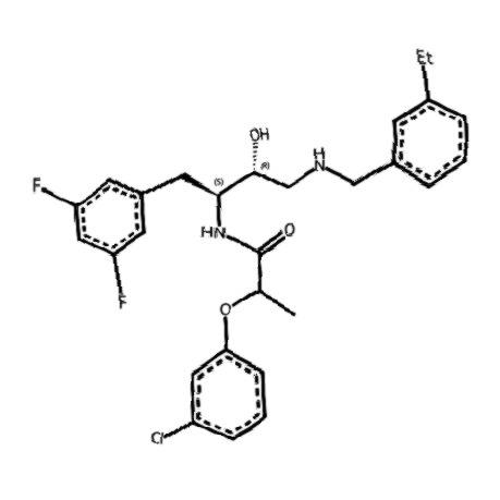 CCc1cccc(CNC[C@@H](O)[C@H](Cc2cc(F)cc(F)c2)NC(=O)C(C)Oc2cccc(Cl)c2)c1